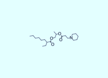 CCCCCCC(CC)C(=O)OCC(C)OC(=O)CCN1CCCCC1